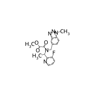 COC(=O)C(=O)N(Cc1ccc2c(c1)nnn2C)C(C)c1ncccc1F